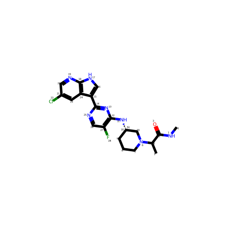 CNC(=O)C(C)N1CCC[C@H](Nc2nc(-c3c[nH]c4ncc(Cl)cc34)ncc2F)C1